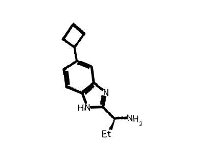 CC[C@H](N)c1nc2cc(C3CCC3)ccc2[nH]1